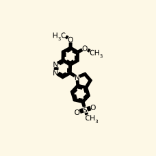 COc1cc2nncc(N3CCc4cc(S(C)(=O)=O)ccc43)c2cc1OC